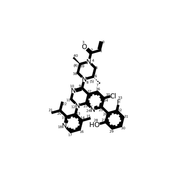 C=CC(=O)N1C[C@H](C)N(C2=NCN(c3c(C)ccnc3C(C)C)c3nc(-c4c(O)cccc4F)c(Cl)cc32)C[C@H]1C